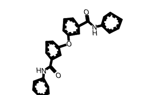 O=C(Nc1ccccc1)c1cccc(Oc2cccc(C(=O)Nc3ccccc3)c2)c1